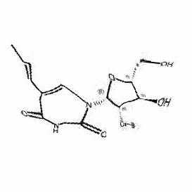 CC=Cc1cn([C@@H]2O[C@H](CO)[C@@H](O)[C@@H]2O)c(=O)[nH]c1=O